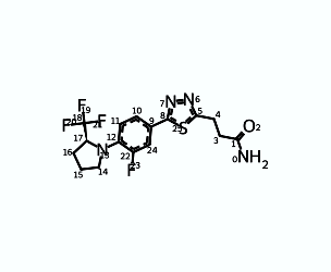 NC(=O)CCc1nnc(-c2ccc(N3CCC[C@H]3C(F)(F)F)c(F)c2)s1